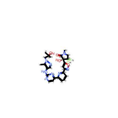 Cc1c(Nc2nccc(-c3cccc(-c4cc([C@@]5(O)C(=O)N(C)CC5(F)F)on4)n3)n2)cnn1CC(C)(C)O